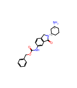 N[C@@H]1CCC[C@H](N2Cc3ccc(NC(=O)OCc4ccccc4)cc3C2=O)C1